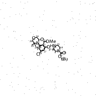 COC(=O)c1c(OC[C@H]2CN(C(=O)OC(C)(C)C)CCN2)cc(Cl)nc1N1CCOCC1(C)C